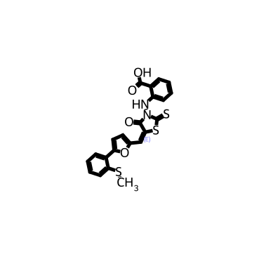 CSc1ccccc1-c1ccc(/C=C2/SC(=S)N(Nc3ccccc3C(=O)O)C2=O)o1